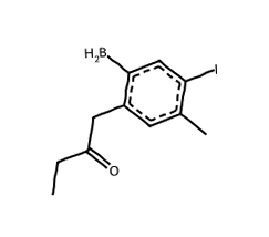 Bc1cc(I)c(C)cc1CC(=O)CC